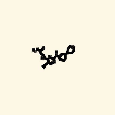 NC(=O)CCNc1nc(Nc2cccc(N3CCOCC3)c2)ncc1C1CC1